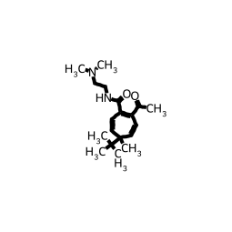 CC(=O)C1=C(C(=O)NCCN(C)C)C=CC(C)(C(C)(C)C)C=C1